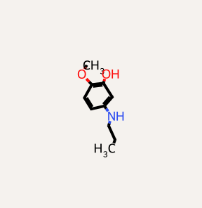 CCCNc1ccc(OC)c(O)c1